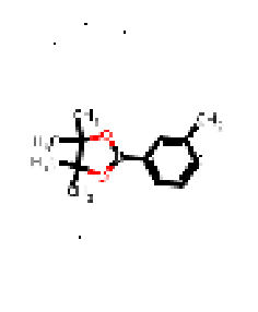 [CH2]c1cccc(B2OC(C)(C)C(C)(C)O2)c1